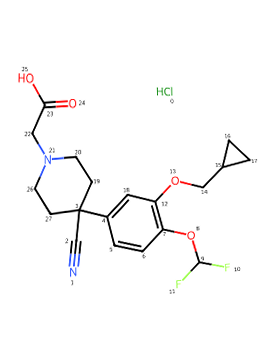 Cl.N#CC1(c2ccc(OC(F)F)c(OCC3CC3)c2)CCN(CC(=O)O)CC1